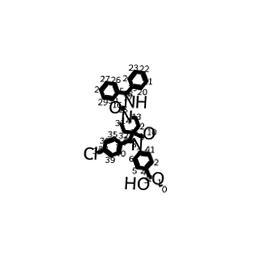 COC(O)c1ccc(N2C(=O)C3(CCN(C(=O)NC(c4ccccc4)c4ccccc4)CC3)C2c2ccc(Cl)cc2)cc1